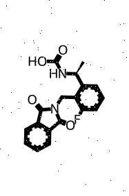 C[C@H](NC(=O)O)c1cccc(F)c1CN1C(=O)c2ccccc2C1=O